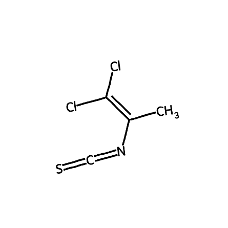 CC(N=C=S)=C(Cl)Cl